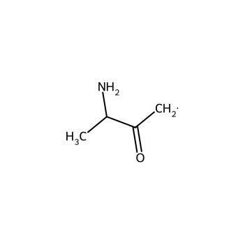 [CH2]C(=O)C(C)N